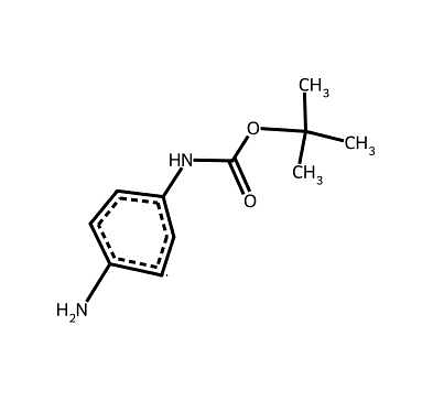 CC(C)(C)OC(=O)Nc1c[c]c(N)cc1